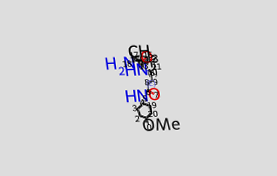 COc1ccc(NC(=O)/C=C/[C@H](CC(C)C)NC(=O)[C@H](C)N)cc1